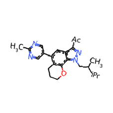 CC(=O)c1nn(CC(C)C(C)C)c2c3c(c(-c4cnc(C)nc4)cc12)CCCO3